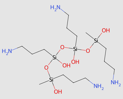 C[Si](O)(CCCN)O[Si](O)(CCCN)O[Si](O)(CCCN)O[Si](C)(O)CCCN